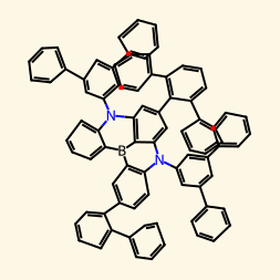 c1ccc(-c2cc(-c3ccccc3)cc(N3c4ccccc4B4c5cc(-c6ccccc6-c6ccccc6)ccc5N(c5cc(-c6ccccc6)cc(-c6ccccc6)c5)c5cc(-c6c(-c7ccccc7)cccc6-c6ccccc6)cc3c54)c2)cc1